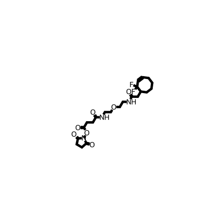 O=C(CCC(=O)ON1C(=O)CCC1=O)NCCOCCNC(=O)CC1CCCCC#CC1(F)F